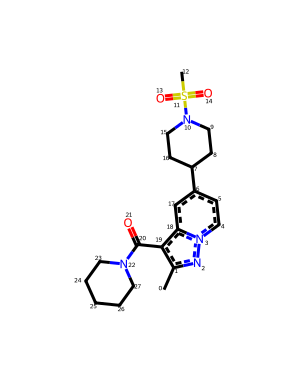 Cc1nn2ccc(C3CCN(S(C)(=O)=O)CC3)cc2c1C(=O)N1CCCCC1